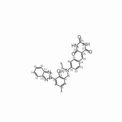 CCN(Cc1cc(C)cc(-n2nc3ccccc3n2)c1O)c1ccc(C=C2C(=O)NC(=O)NC2=O)cc1